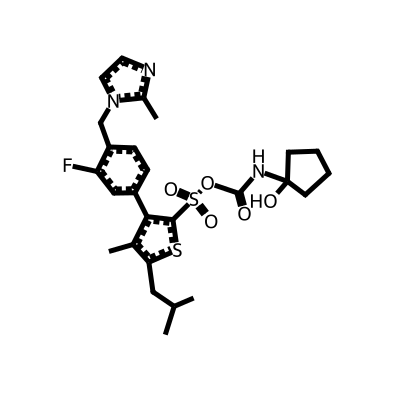 Cc1c(CC(C)C)sc(S(=O)(=O)OC(=O)NC2(O)CCCC2)c1-c1ccc(Cn2ccnc2C)c(F)c1